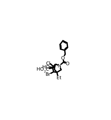 CCC12CN(C(=O)OCc3ccccc3)C(C(O)C1Br)C(Cl)(C(=O)O)C2